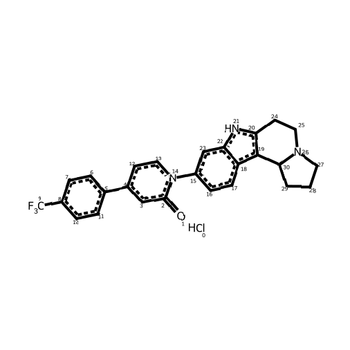 Cl.O=c1cc(-c2ccc(C(F)(F)F)cc2)ccn1-c1ccc2c3c([nH]c2c1)CCN1CCCC31